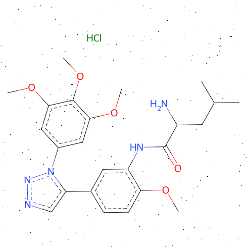 COc1ccc(-c2cnnn2-c2cc(OC)c(OC)c(OC)c2)cc1NC(=O)C(N)CC(C)C.Cl